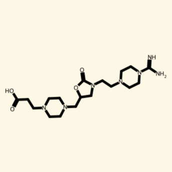 N=C(N)N1CCN(CCN2CC(CN3CCN(CCC(=O)O)CC3)OC2=O)CC1